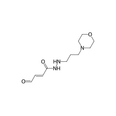 O=CC=CC(=O)NNCCCN1CCOCC1